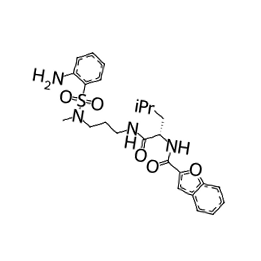 CC(C)C[C@H](NC(=O)c1cc2ccccc2o1)C(=O)NCCCN(C)S(=O)(=O)c1ccccc1N